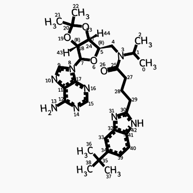 CC(C)N(C[C@H]1OC(n2cnc3c(N)ncnc32)[C@@H]2OC(C)(C)O[C@H]12)C(=O)CCCc1nc2cc(C(C)(C)C)ccc2[nH]1